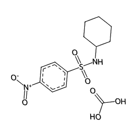 O=C(O)O.O=[N+]([O-])c1ccc(S(=O)(=O)NC2CCCCC2)cc1